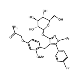 COc1cc(OCC(N)=O)ccc1Cc1c(O[C@@H]2O[C@H](CO)[C@@H](O)[C@H](O)[C@H]2O)nn(C(C)C)c1-c1ccc(C(C)C)cc1